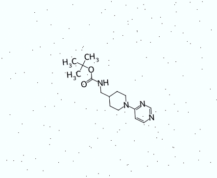 CC(C)(C)OC(=O)NCC1CCN(c2ccncn2)CC1